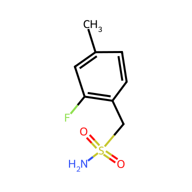 Cc1ccc(CS(N)(=O)=O)c(F)c1